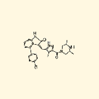 Cc1c(C(=O)N2CC(C)NC(C)C2)c[nH]c1C=C1C(=O)Nc2cccc(-c3ccc(Cl)cc3)c21